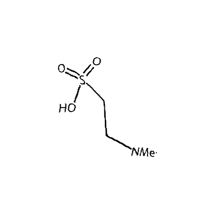 C[N]CCS(=O)(=O)O